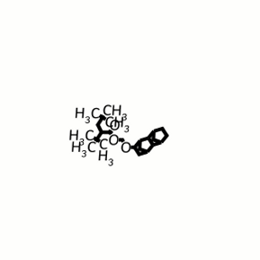 CC(C)(C)CC(C(=O)OCOC1CC2CC1C1C3CCC(C3)C21)C(C)(C)C